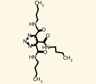 CCCCNC(=O)c1nnnc(C(=O)NCCCC)c1C(=O)NCCCC